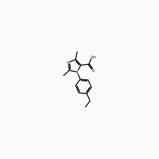 CCc1ccc(-n2c(C)nc(C)c2C(=O)O)cc1